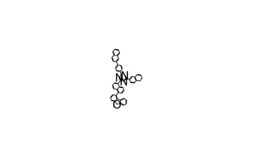 C1=Cc2cc(-c3nc(-c4ccc(-c5ccc6ccccc6c5)cc4)nc(-c4cccc5c(-c6cccc7oc8ccccc8c67)cccc45)n3)ccc2CC1